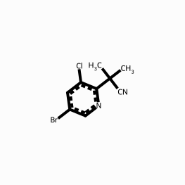 CC(C)(C#N)c1ncc(Br)cc1Cl